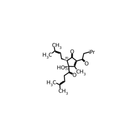 CC(C)=CCC(=O)[C@@]1(O)C(C)=C(C(=O)CC(C)C)C(=O)[C@@H]1CC=C(C)C